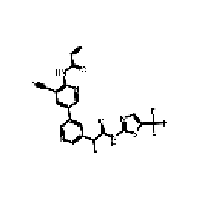 C=CC(=O)Nc1ncc(-c2cncc(C(C)C(=O)Nc3ncc(C(F)(F)F)s3)c2)cc1C#N